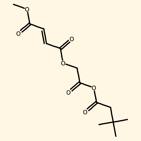 COC(=O)C=CC(=O)OCC(=O)OC(=O)CC(C)(C)C